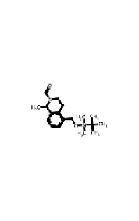 CC1c2cccc(CO[Si](C)(C)C(C)(C)C)c2CCN1C=O